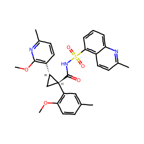 COc1ccc(C)cc1[C@]1(C(=O)NS(=O)(=O)c2cccc3nc(C)ccc23)C[C@@H]1c1ccc(C)nc1OC